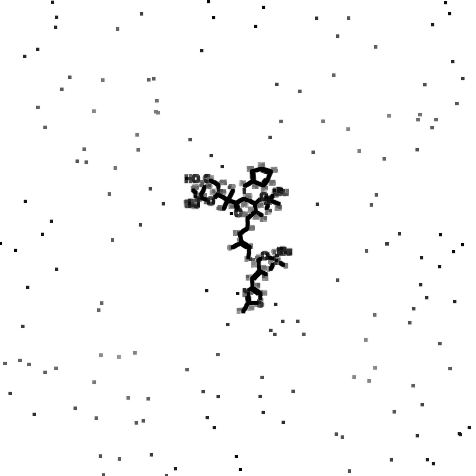 CC(=CC[C@H](O[Si](C)(C)C(C)(C)C)C(C)=Cc1csc(C)n1)CCC[C@H](C)[C@H](O[Si](C)(C)C(C)(C)C)[C@@H](Cc1ccccc1)C(=O)C(C)(C)[C@H](CC(=O)O)O[Si](C)(C)C(C)(C)C